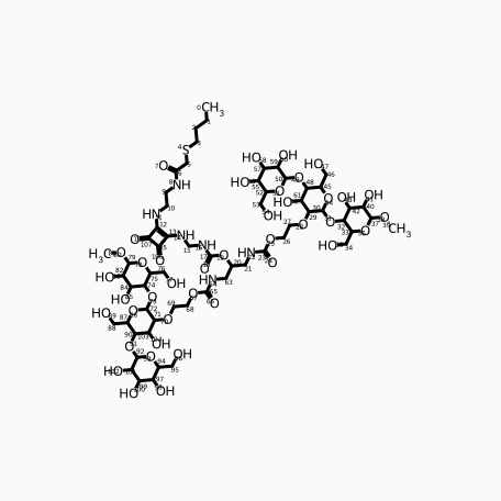 CCCCSCC(=O)NCCNc1c(NCNC(=O)OC(CNC(=O)OCCOC2C(OC3C(CO)OC(OC)C(O)C3O)OC(CO)C(OC3OC(CO)C(O)C(O)C3O)C2O)CNC(=O)OCCOC2C(OC3C(CO)OC(OC)C(O)C3O)OC(CO)C(OC3OC(CO)C(O)C(O)C3O)C2O)c(=O)c1=O